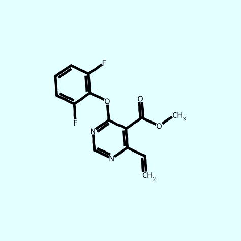 C=Cc1ncnc(Oc2c(F)cccc2F)c1C(=O)OC